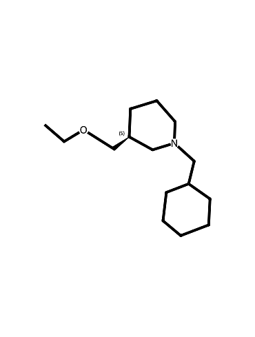 CCOC[C@H]1CCCN(CC2CCCCC2)C1